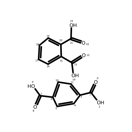 O=C(O)c1ccc(C(=O)O)cc1.O=C(O)c1ccccc1C(=O)O